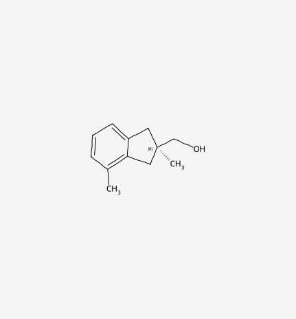 Cc1cccc2c1C[C@](C)(CO)C2